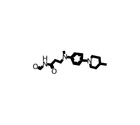 CC1CCN(c2ccc(N(C)CCC(=O)NC=O)cc2)CC1